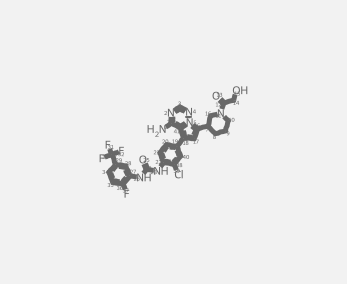 Nc1ncnn2c(C3CCCN(C(=O)CO)C3)cc(-c3ccc(NC(=O)Nc4cc(C(F)(F)F)ccc4F)c(Cl)c3)c12